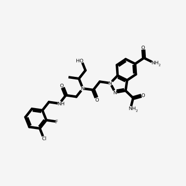 CC(CO)N(CC(=O)NCc1cccc(Cl)c1F)C(=O)Cn1nc(C(N)=O)c2cc(C(N)=O)ccc21